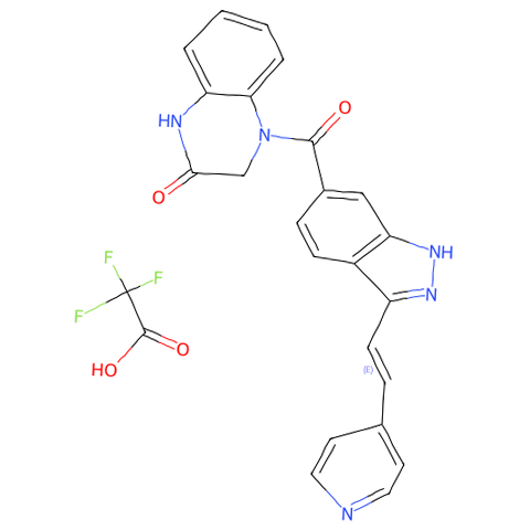 O=C(O)C(F)(F)F.O=C1CN(C(=O)c2ccc3c(/C=C/c4ccncc4)n[nH]c3c2)c2ccccc2N1